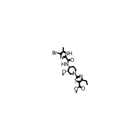 CCc1nc(N2CC[C@@H](NC(=O)c3nc(Br)c(C)[nH]3)[C@@H](OC)C2)sc1C(=O)OC